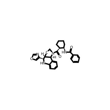 O=C(N[C@@H]1CCCC[C@@H]1C(=O)N1CC[C@@H]2[C@H](c3cocn3)Nc3ccccc3[C@@H]21)c1ccccc1